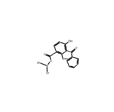 CCCCCCc1c(C(=O)ON(CC)CC)ccc(O)c1C(=O)c1ccccc1